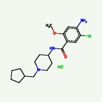 COc1cc(N)c(Cl)cc1C(=O)NC1CCN(CC2CCCC2)CC1.Cl